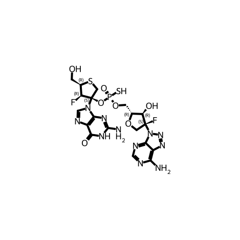 Nc1nc2c(ncn2[C@@]2(OP(=O)(S)OC[C@H]3OC[C@@](F)(n4nnc5c(N)ncnc54)[C@@H]3O)CS[C@H](CO)[C@@H]2F)c(=O)[nH]1